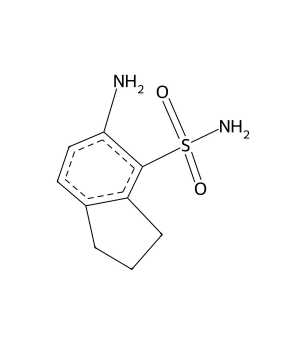 Nc1ccc2c(c1S(N)(=O)=O)CCC2